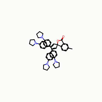 Cc1ccc2c(c1)C(=O)OC2(C=C(c1ccc(N2CCCC2)cc1)c1ccc(N2CCCC2)cc1)C=C(c1ccc(N2CCCC2)cc1)c1ccc(N2CCCC2)cc1